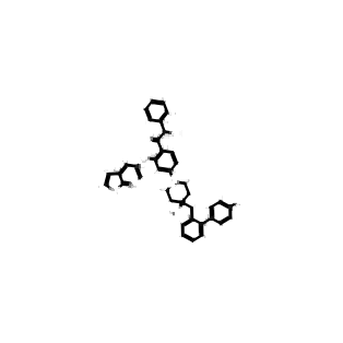 COC1(Cc2ccccc2-c2ccc(Cl)cc2)CCN(c2ccc(C(=O)C(O)c3ccccc3)c(Oc3cnc4[nH]ccc4c3)c2)CC1